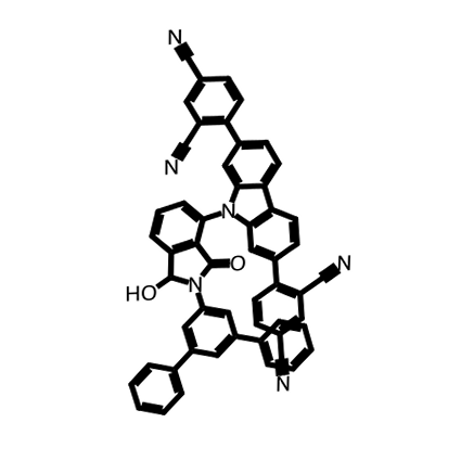 N#Cc1ccc(-c2ccc3c4ccc(-c5ccc(C#N)cc5C#N)cc4n(-c4cccc5c4C(=O)N(c4cc(-c6ccccc6)cc(-c6ccccc6)c4)C5O)c3c2)c(C#N)c1